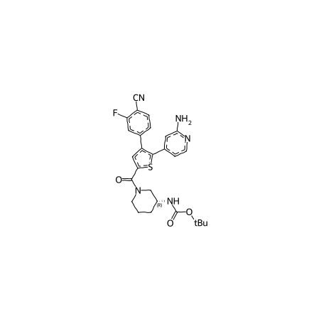 CC(C)(C)OC(=O)N[C@@H]1CCCN(C(=O)c2cc(-c3ccc(C#N)c(F)c3)c(-c3ccnc(N)c3)s2)C1